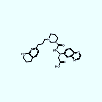 O=C(O)C[C@@H](NC(=O)[C@@H]1CCCN(CCCc2ccc3c(n2)NCCC3)C1)c1ccc2nccnc2c1